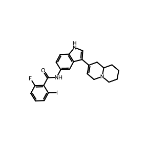 O=C(Nc1ccc2[nH]cc(C3=CCN4CCCCC4C3)c2c1)c1c(F)cccc1I